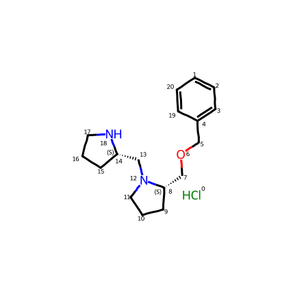 Cl.c1ccc(COC[C@@H]2CCCN2C[C@@H]2CCCN2)cc1